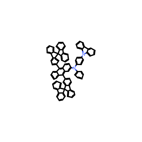 c1ccc(N(c2ccc(-n3c4ccccc4c4ccccc43)cc2)c2ccc3c(-c4ccc5c(c4)C4(c6ccccc6-c6ccccc64)c4ccccc4-5)c4ccccc4c(-c4ccc5c(c4)C4(c6ccccc6-c6ccccc64)c4ccccc4-5)c3c2)cc1